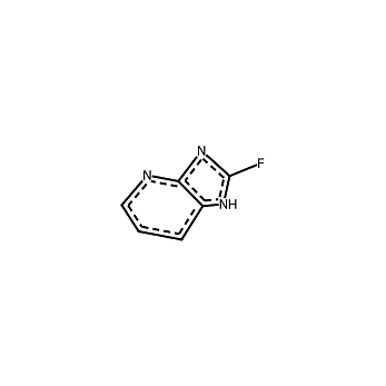 Fc1nc2ncccc2[nH]1